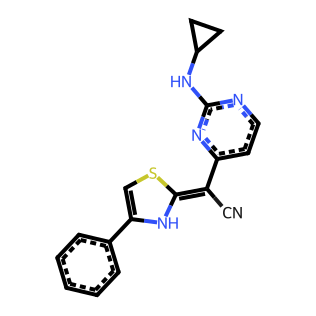 N#C/C(=C1\NC(c2ccccc2)=CS1)c1ccnc(NC2CC2)n1